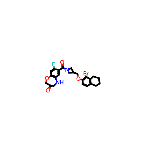 O=C1CNc2cc(C(=O)N3CC(COc4ccc5c(c4Br)CCCC5)C3)c(F)cc2OC1